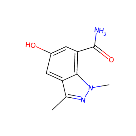 Cc1nn(C)c2c(C(N)=O)cc(O)cc12